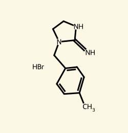 Br.Cc1ccc(CN2CCNC2=N)cc1